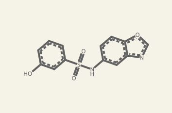 O=S(=O)(Nc1ccc2ocnc2c1)c1cccc(O)c1